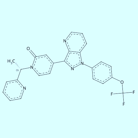 C[C@@H](c1ccccn1)n1ccc(-c2nn(-c3ccc(OC(F)(F)F)cc3)c3cccnc23)cc1=O